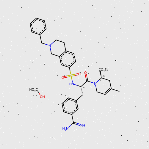 CCOC(=O)[C@H]1CC(C)=CCN1C(=O)[C@H](Cc1cccc(C(=N)N)c1)NS(=O)(=O)c1ccc2c(c1)CN(Cc1ccccc1)CC2.O=C(O)O